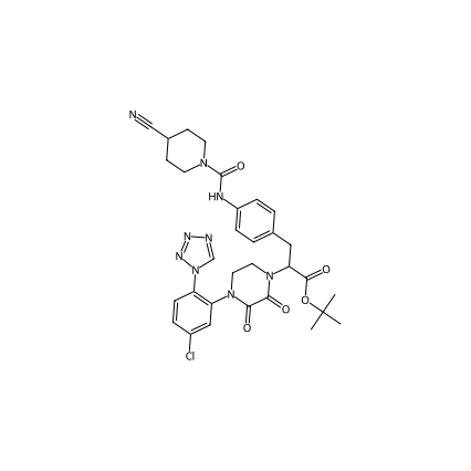 CC(C)(C)OC(=O)C(Cc1ccc(NC(=O)N2CCC(C#N)CC2)cc1)N1CCN(c2cc(Cl)ccc2-n2cnnn2)C(=O)C1=O